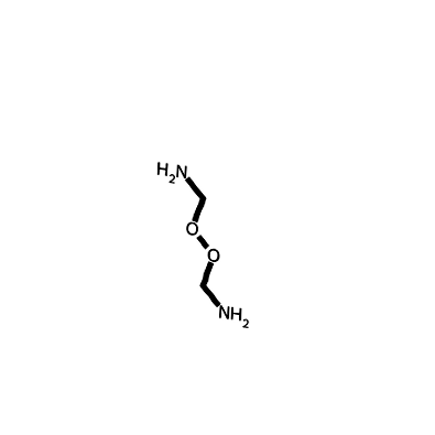 NCOOCN